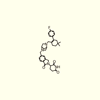 CC1(C)CCC(CN2CC3CC2CN3Cc2ccc3c(c2)CN(C2CCC(=O)NC2=O)C3=O)=C(c2ccc(F)cc2)C1